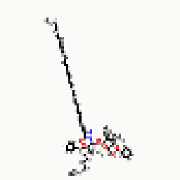 CC#CC#CC#CC#CC#CC#CC#CC#CC#CC#CC#CC#CC(=O)N[C@@H](CO[C@H]1OC2COC(c3ccccc3)O[C@@H]2[C@H](C)C1C)[C@H](OCc1ccccc1)[C@H](C)CCCCCCCCCCCCCC